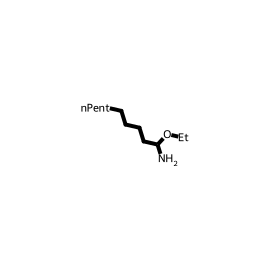 CCCCCCCCCC(N)OCC